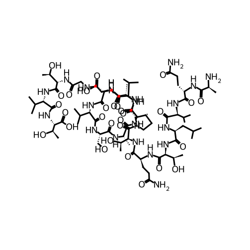 CC(C)C[C@H](NC(=O)[C@@H](NC(=O)[C@H](CCC(N)=O)NC(=O)[C@H](C)N)C(C)C)C(=O)N[C@H](C(=O)N[C@@H](CCC(N)=O)C(=O)N[C@H](C(=O)N1CCC[C@H]1C(=O)N[C@@H](C)C(=O)N[C@@H](CO)C(=O)N[C@H](C(=O)N[C@@H](CO)C(=O)N[C@@H](C)C(=O)N[C@@H](C)C(=O)N[C@H](C(=O)NCC(=O)NCC(=O)N[C@H](C(=O)N[C@H](C(=O)N[C@H](C(=O)O)[C@@H](C)O)C(C)C)[C@@H](C)O)C(C)C)C(C)C)[C@@H](C)O)[C@@H](C)O